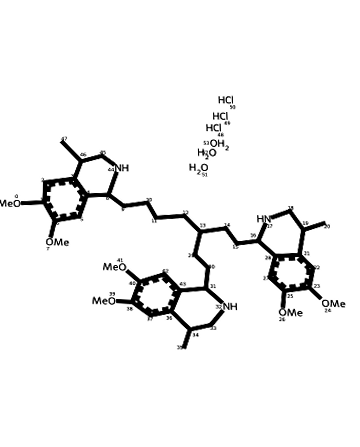 COc1cc2c(cc1OC)C(CCCCC(CCC1NCC(C)c3cc(OC)c(OC)cc31)CCC1NCC(C)c3cc(OC)c(OC)cc31)NCC2C.Cl.Cl.Cl.O.O.O